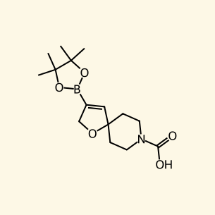 CC1(C)OB(C2=CC3(CCN(C(=O)O)CC3)OC2)OC1(C)C